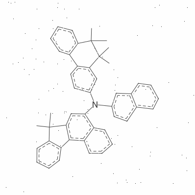 CC1(C)c2ccccc2-c2c1cc(N(c1ccc3c(c1)C(C)(C)C(C)(C)c1ccccc1-3)c1ccc3ccccc3c1)c1ccccc21